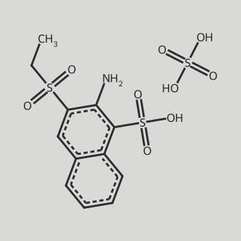 CCS(=O)(=O)c1cc2ccccc2c(S(=O)(=O)O)c1N.O=S(=O)(O)O